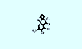 CCN1C(=O)C2=C(O)C(O)C(N)=CN2N(C)C12CCC2